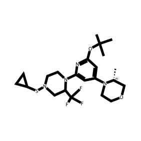 C[C@@H]1COCCN1c1cc(OC(C)(C)C)nc(N2CCN(SC3CC3)CC2C(F)(F)F)c1